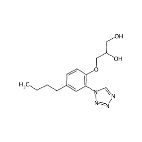 CCCCc1ccc(OCC(O)CO)c(-n2cnnn2)c1